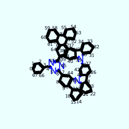 c1ccc(-c2nc(-c3ccc(-c4ccccc4)c(-n4c5ccccc5c5ccc(-n6c7ccccc7c7ccccc76)cc54)c3)nc(-c3ccc4c5ccccc5c5ccccc5c4c3)n2)cc1